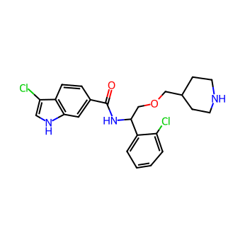 O=C(NC(COCC1CCNCC1)c1ccccc1Cl)c1ccc2c(Cl)c[nH]c2c1